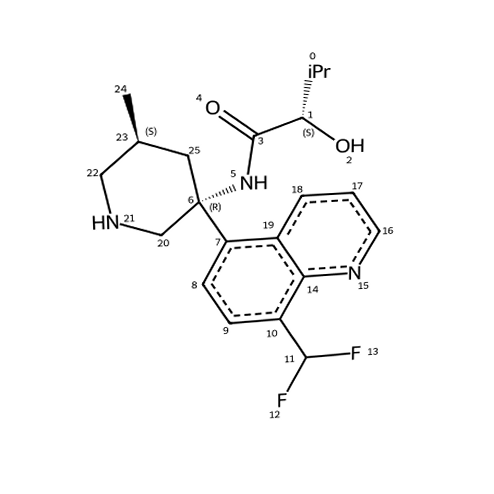 CC(C)[C@H](O)C(=O)N[C@]1(c2ccc(C(F)F)c3ncccc23)CNC[C@@H](C)C1